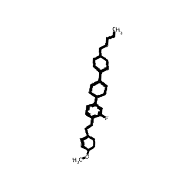 CCCCCC1CCC(C2CCC(c3ccc(CCC4CCC(OC)CC4)c(F)c3)CC2)CC1